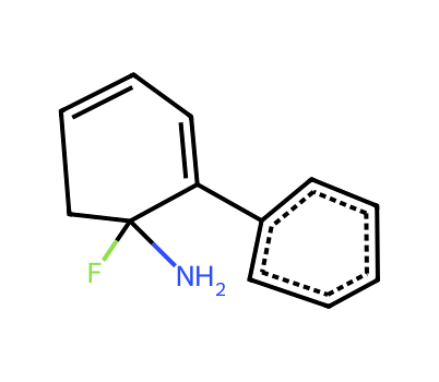 NC1(F)CC=CC=C1c1ccccc1